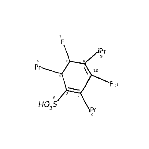 CC(C)C1=C(S(=O)(=O)O)C(C(C)C)C(F)C(C(C)C)=C1F